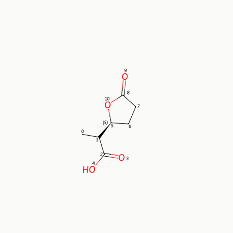 CC(C(=O)O)[C@@H]1CCC(=O)O1